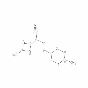 CC1OC(C(C#N)CCC2CCN(C)CC2)O1